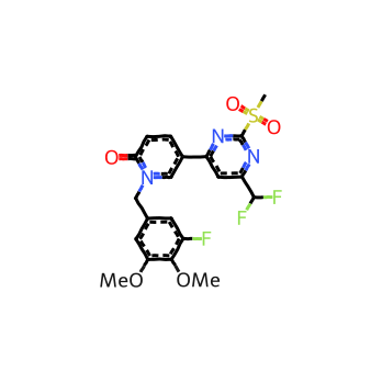 COc1cc(Cn2cc(-c3cc(C(F)F)nc(S(C)(=O)=O)n3)ccc2=O)cc(F)c1OC